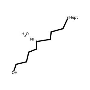 CCCCCCCCCCCCCCCO.N.O